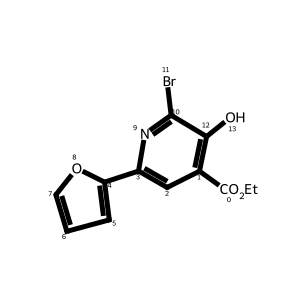 CCOC(=O)c1cc(-c2ccco2)nc(Br)c1O